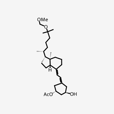 COCOC(C)(C)CCC[C@@H](C)[C@H]1CC[C@H]2/C(=C/C=C3/C[C@@H](O)C[C@H](OC(C)=O)C3)CCC[C@]12C